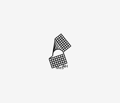 CSNC12C3CC4C5C6C7C8C9C%10C%11C%12C%13CC%14C%15C%16C%17C%18C%19C%20CC%21C%22C%23C%24C(C%25C%26C%27C%28C%29CC%30C%31C%32C%33C1C1%34C%33%35C%32%33C%31%32C%29%30C%28%29C%27%28C%26%27C%25C%25C%26C%30C%31C%36C8C78C67C56C43C21C61C72C%368C%313C%304C%265C%25%27C%286C%29%32C%337C56C45C32C%341C%3575)C1C2C3C4C5C6C9C%107C%118C%129C%13%14C%15%10C%16%11C%17%12C%18%13C%19%14C%21%20C%22%15C%23%16C%241C21C32C43C54C67C85C9%10C%116C45C34C23C%161C%15%14C%133C%1264